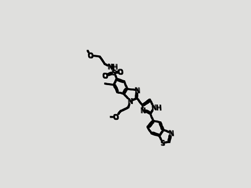 COCCNS(=O)(=O)c1cc2nc(-c3c[nH]c(-c4ccc5scnc5c4)n3)n(CCOC)c2cc1C